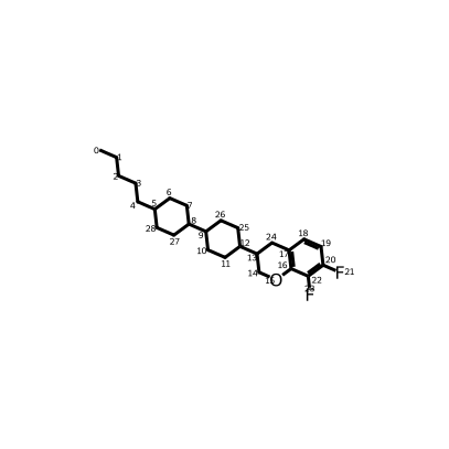 CCCCCC1CCC(C2CCC(C3COc4c(ccc(F)c4F)C3)CC2)CC1